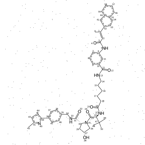 C/C(=C\C(=O)Nc1cccc(C(=O)NCCCCCC(=O)N[C@H](C(=O)N2C[C@H](O)C[C@@H]2C(=O)NCc2ccc(-c3nc(C)cs3)cc2)C(C)(C)C)c1)c1ccc2ccccc2c1